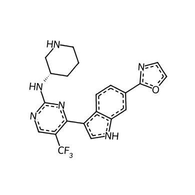 FC(F)(F)c1cnc(N[C@H]2CCCNC2)nc1-c1c[nH]c2cc(-c3ncco3)ccc12